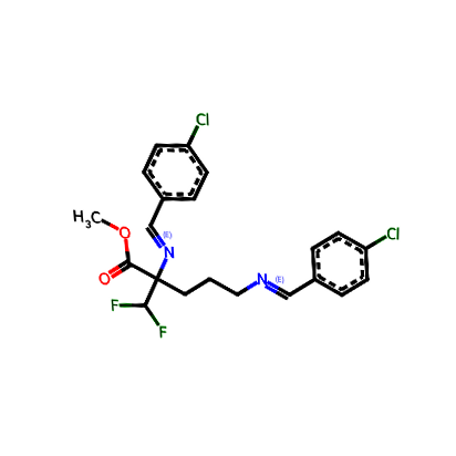 COC(=O)C(CCC/N=C/c1ccc(Cl)cc1)(/N=C/c1ccc(Cl)cc1)C(F)F